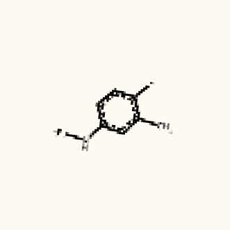 Cc1cc(NC(C)(C)C)ccc1F